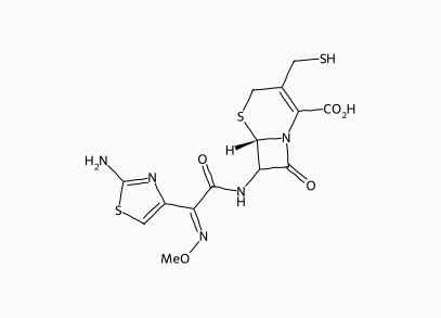 CON=C(C(=O)NC1C(=O)N2C(C(=O)O)=C(CS)CS[C@@H]12)c1csc(N)n1